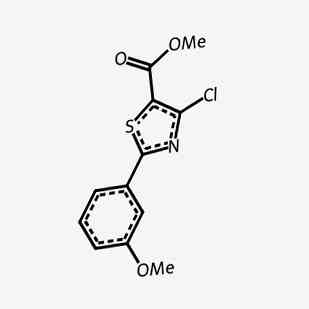 COC(=O)c1sc(-c2cccc(OC)c2)nc1Cl